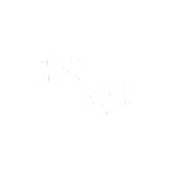 C[Si](C)(C)C#CC(=O)O[Si](C)(C)C